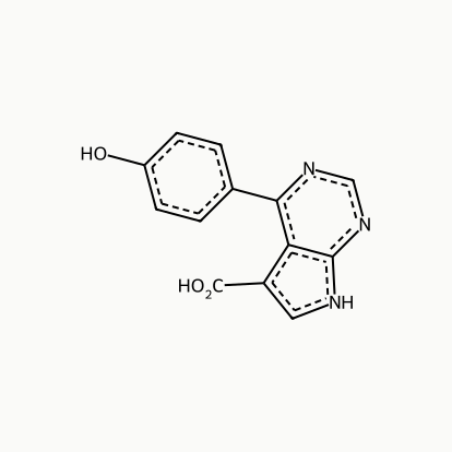 O=C(O)c1c[nH]c2ncnc(-c3ccc(O)cc3)c12